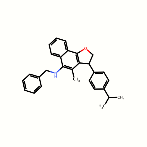 Cc1c2c(c3ccccc3c1NCc1ccccc1)OCC2c1ccc(C(C)C)cc1